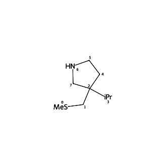 CSCC1(C(C)C)CCNC1